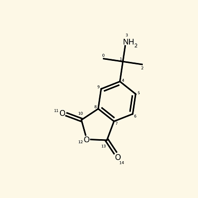 CC(C)(N)c1ccc2c(c1)C(=O)OC2=O